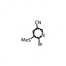 CSc1cc(C#N)cnc1Br